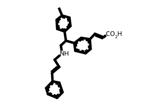 Cc1ccc(C(CNCC=Cc2ccccc2)c2cccc(C=CC(=O)O)c2)cc1